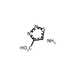 N.O=C(O)c1csnn1